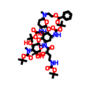 CN(CCOC(=O)c1ccccc1)[C@@H]1CC[C@@H](NC(=O)OC(C)(C)C)[C@H](O[C@H]2[C@H](O)[C@@H](O[C@H]3OC[C@](C)(O)[C@H](N(C)C(=O)OC(C)(C)C)[C@H]3O)[C@H](NC(=O)[C@@H](O)CCNC(=O)OC(C)(C)C)C[C@@H]2NC(=O)OC(C)(C)C)O1